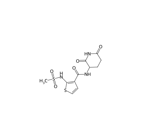 CS(=O)(=O)Nc1sccc1C(=O)NC1CCC(=O)NC1=O